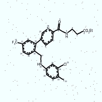 CCOC(=O)CCNC(=O)c1ccc(-c2cc(C(F)(F)F)ccc2CNc2ccc(I)c(Cl)c2)cn1